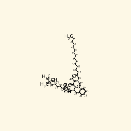 CCCCCCCCCCCCCCCCCCOc1ccccc1CC(COP(=O)(O)OCCCC[N+](C)(C)CC)CC(=O)CCC